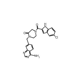 Nc1ncnc2cc(CN3CCN(C(=O)c4cc5cc(Cl)ccc5[nH]4)CC3=O)ccc12